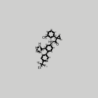 CCC(F)(F)c1ccc(-c2ccc(NC(=O)C3(c4cccc(Cl)c4)CC3)cc2-c2nnn[nH]2)cn1